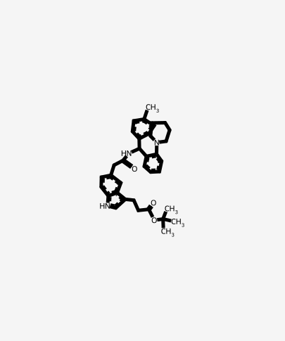 Cc1ccc(C(NC(=O)Cc2ccc3[nH]cc(CCC(=O)OC(C)(C)C)c3c2)c2ccccc2N2CCCCC2)cc1